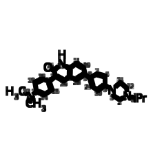 CC(C)N1CCN(c2ccc(-c3ccc4[nH]c(=O)c(-c5ccc(N(C)C)cc5)cc4c3)cc2)CC1